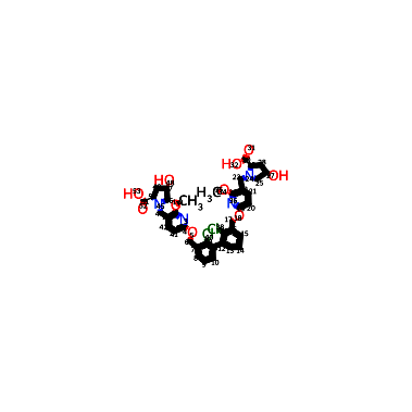 COc1nc(OCc2cccc(-c3cccc(COc4ccc(CN5C[C@@H](O)C[C@H]5C(=O)O)c(OC)n4)c3Cl)c2Cl)ccc1CN1C[C@@H](O)C[C@H]1C(=O)O